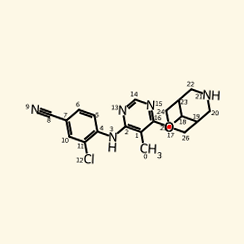 Cc1c(Nc2ccc(C#N)cc2Cl)ncnc1OC1C2CNCC1COC2